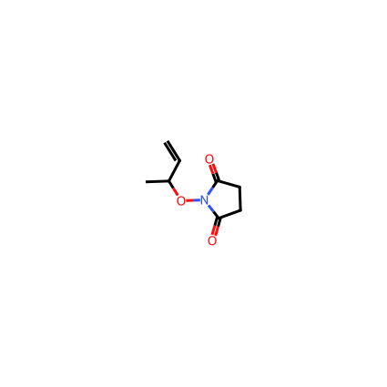 C=CC(C)ON1C(=O)CCC1=O